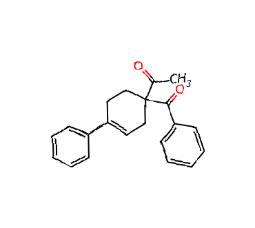 CC(=O)C1(C(=O)c2ccccc2)CC=C(c2ccccc2)CC1